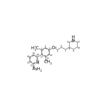 Cc1cc(OCCCC2CCCNC2)cc(C)c1-c1cccc([AsH2])n1